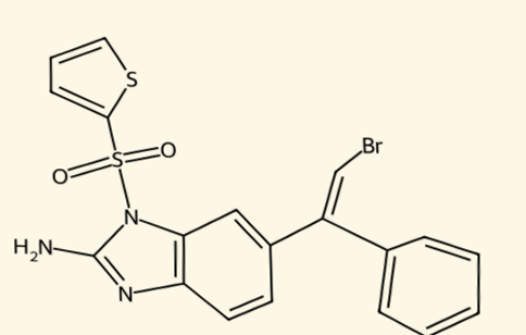 Nc1nc2ccc(C(=CBr)c3ccccc3)cc2n1S(=O)(=O)c1cccs1